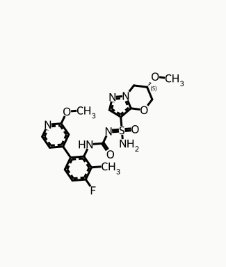 COc1cc(-c2ccc(F)c(C)c2NC(=O)N=S(N)(=O)c2cnn3c2OC[C@@H](OC)C3)ccn1